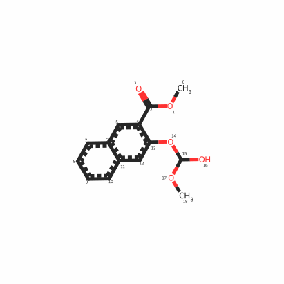 COC(=O)c1cc2ccccc2cc1OC(O)OC